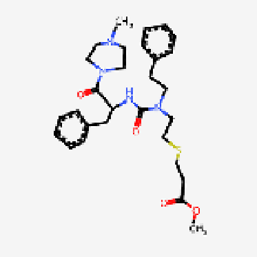 COC(=O)CCSCCN(CCc1ccccc1)C(=O)NC(Cc1ccccc1)C(=O)N1CCN(C)CC1